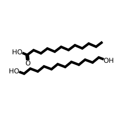 CCCCCCCCCCCC(=O)O.OCCCCCCCCCCCCO